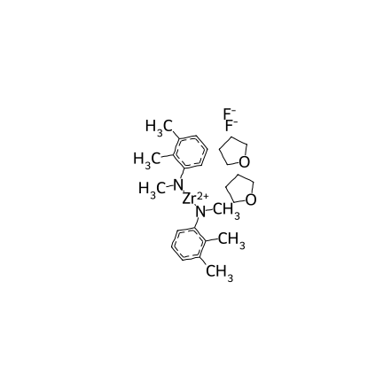 C1CCOC1.C1CCOC1.Cc1cccc([N](C)[Zr+2][N](C)c2cccc(C)c2C)c1C.[F-].[F-]